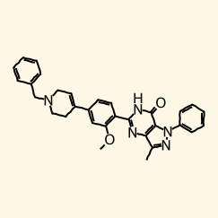 COc1cc(C2=CCN(Cc3ccccc3)CC2)ccc1-c1nc2c(C)nn(-c3ccccc3)c2c(=O)[nH]1